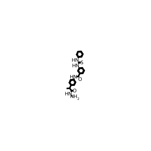 CC(C(=O)NN)c1ccc(NC(=O)c2cccc(NC(=S)Nc3ccccc3)c2)cc1